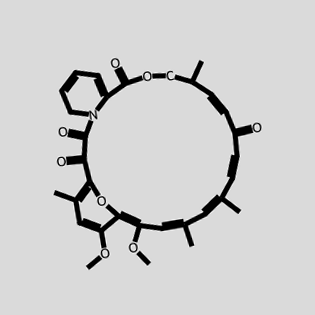 COC1=CC(C)=C2OC1=C(OC)C=C(C)C=C(C)C=CC(=O)C=CC(C)COC(=O)C1=CC=CCN1C(=O)C2=O